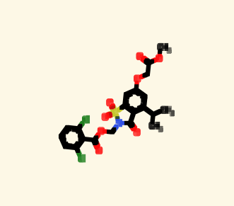 COC(=O)COc1cc(C(C)C)c2c(c1)S(=O)(=O)N(COC(=O)c1c(Cl)cccc1Cl)C2=O